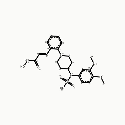 COc1ccc(N(C2CCN(c3ccccc3/C=C/C(=O)NO)CC2)S(=O)(=O)O)cc1OC